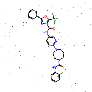 O=C(Nc1ccc(N2CCCN(C(=S)Nc3ccccc3F)CC2)nc1)c1nc(-c2ccccc2)oc1C(F)(F)F